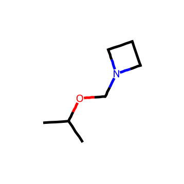 CC(C)OCN1CCC1